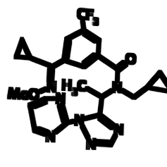 CON=C(c1cc(C(=O)N(CC2CC2)C(C)c2ncnn2-c2ncccn2)cc(C(F)(F)F)c1)C1CC1